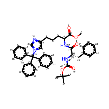 COC(=O)C(CCCc1cn(C(c2ccccc2)(c2ccccc2)c2ccccc2)cn1)NC(=O)[C@H](Cc1ccccc1)NC(=O)OC(C)(C)C